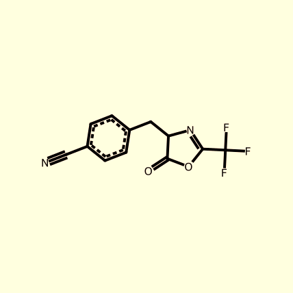 N#Cc1ccc(CC2N=C(C(F)(F)F)OC2=O)cc1